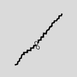 CCCCCCCCCCCCCCCCCCCCOC(=O)CCCCCCCCCCCCCCC